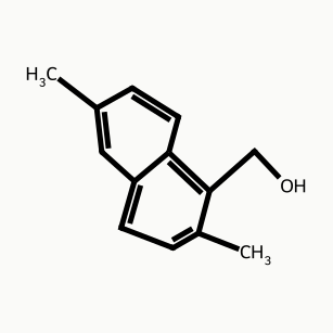 Cc1ccc2c(CO)c(C)ccc2c1